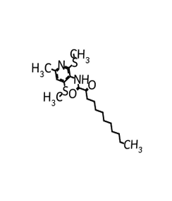 CCCCCCCCCCC(=O)C(=O)Nc1c(SC)cc(C)nc1SC